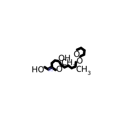 CC(CCCC1(C)OC/C(=C/CO)CCC1O)COC1CCCCO1